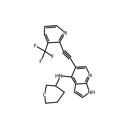 FC(F)(F)c1cccnc1C#Cc1cnc2[nH]ccc2c1NC1CCCCC1